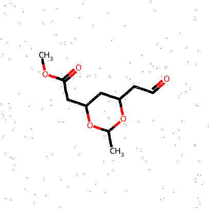 COC(=O)CC1CC(CC=O)OC(C)O1